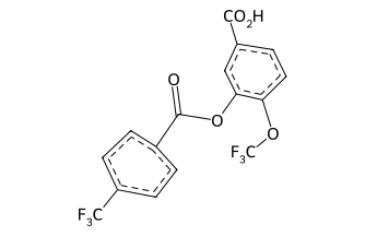 O=C(O)c1ccc(OC(F)(F)F)c(OC(=O)c2ccc(C(F)(F)F)cc2)c1